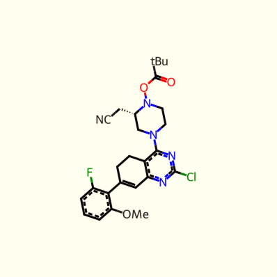 COc1cccc(F)c1C1=Cc2nc(Cl)nc(N3CCN(OC(=O)C(C)(C)C)[C@@H](CC#N)C3)c2CC1